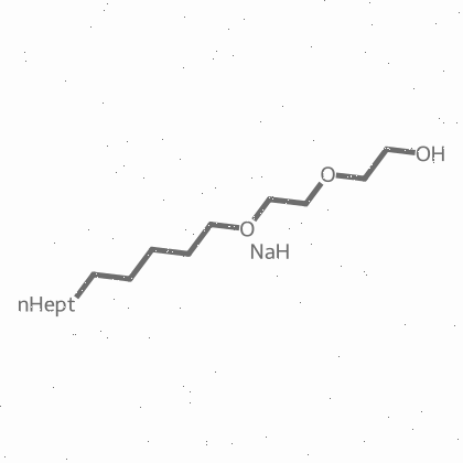 CCCCCCCCCCCCOCCOCCO.[NaH]